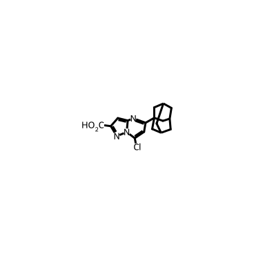 O=C(O)c1cc2nc(C34CC5CC(CC(C5)C3)C4)cc(Cl)n2n1